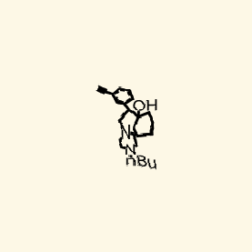 C#Cc1cccc(C(CN2CCN(CCCC)CC2)C2(O)CCCCC2)c1